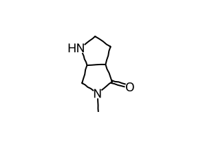 CN1CC2NCCC2C1=O